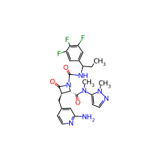 CCC(NC(=O)N1C(=O)[C@H](Cc2ccnc(N)c2)[C@H]1C(=O)N(C)c1ccnn1C)c1cc(F)c(F)c(F)c1